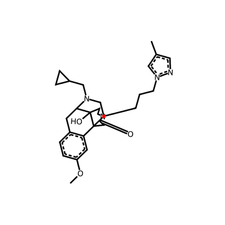 COc1ccc2c(c1)C13CCN(CC4CC4)C(C2)C1(O)CCN(CCCn1cc(C)cn1)C(=O)C3